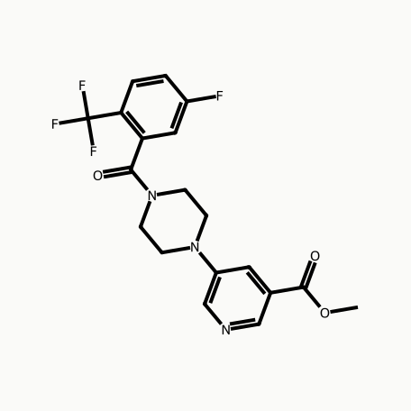 COC(=O)c1cncc(N2CCN(C(=O)c3cc(F)ccc3C(F)(F)F)CC2)c1